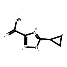 CC[CH]C(=O)c1noc(C2CC2)n1